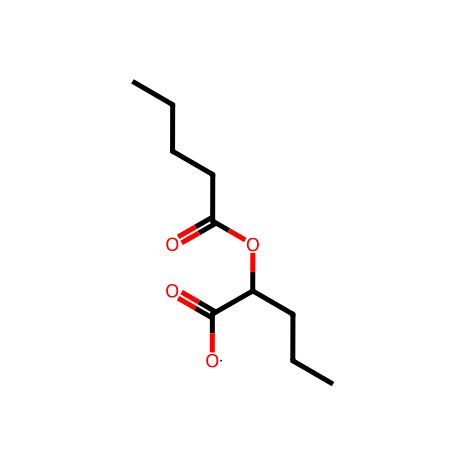 CCCCC(=O)OC(CCC)C([O])=O